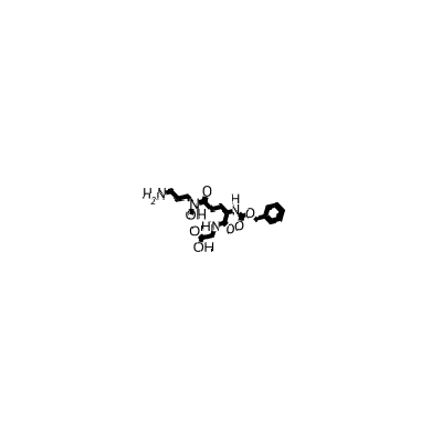 NCCCN(O)C(=O)CCC(NC(=O)OCc1ccccc1)C(=O)NCC(=O)O